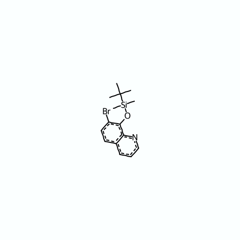 CC(C)(C)[Si](C)(C)Oc1c(Br)ccc2cccnc12